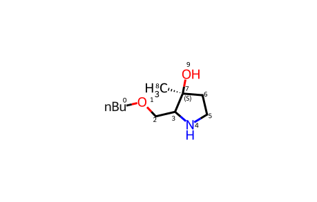 CCCCOCC1NCC[C@]1(C)O